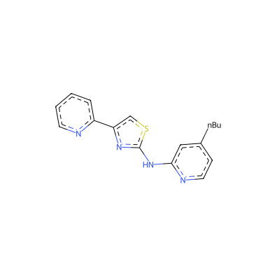 CCCCc1ccnc(Nc2nc(-c3ccccn3)cs2)c1